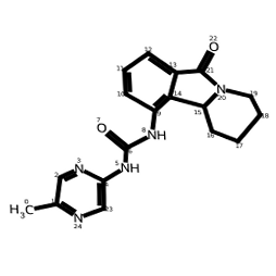 Cc1cnc(NC(=O)Nc2cccc3c2C2CCCCN2C3=O)cn1